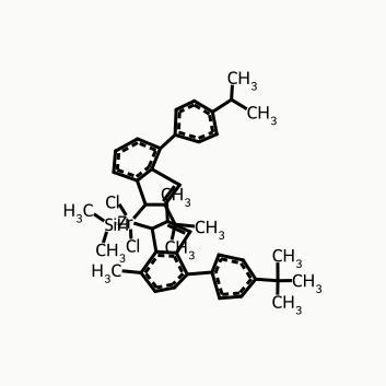 CC1=Cc2c(-c3ccc(C(C)(C)C)cc3)ccc(C)c2[CH]1[Zr]([Cl])([Cl])([CH]1C(C(C)C)=Cc2c(-c3ccc(C(C)C)cc3)cccc21)[SiH](C)C